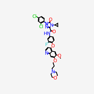 COc1cc2c(Oc3ccc(NC(=O)c4nn(-c5ccc(Cl)cc5Cl)c(=O)n4C4CC4)cc3F)ccnc2cc1OCCCN1CCOCC1